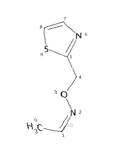 C/C=N\OCc1nccs1